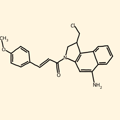 COc1ccc(C=CC(=O)N2CC(CCl)c3c2cc(N)c2ccccc32)cc1